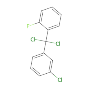 Fc1ccccc1C(Cl)(Cl)c1cccc(Cl)c1